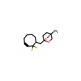 CC12CCC(CC3CCCCC#CC3(F)F)(OC1)OC2